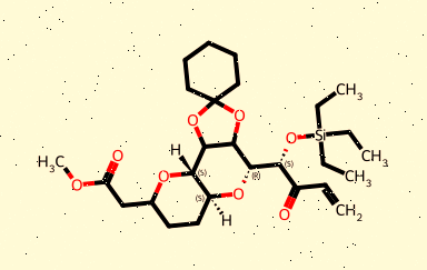 C=CC(=O)[C@@H](O[Si](CC)(CC)CC)[C@@H]1O[C@H]2CCC(CC(=O)OC)O[C@@H]2C2OC3(CCCCC3)OC21